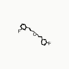 Fc1cccc(C=CCOCC=Cc2cccc(F)c2)c1